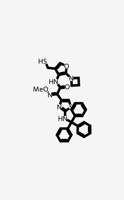 CON=C(C(=O)Nc1c(CS)coc1N1CCC1)c1csc(NC(c2ccccc2)(c2ccccc2)c2ccccc2)n1